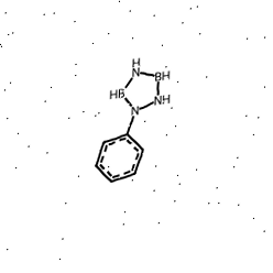 B1NBN(c2ccccc2)N1